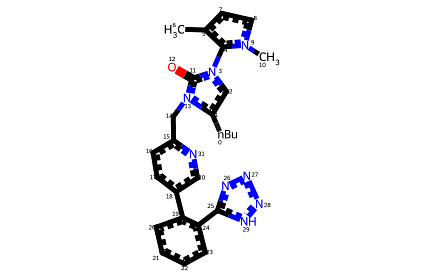 CCCCc1cn(-c2c(C)ccn2C)c(=O)n1Cc1ccc(-c2ccccc2-c2nnn[nH]2)cn1